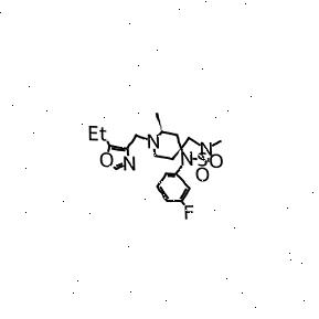 CCc1ocnc1CN1CC[C@@]2(C[C@@H]1C)CN(C)S(=O)(=O)N2c1cccc(F)c1